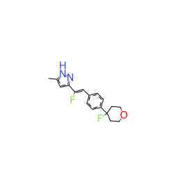 Cc1cc(/C(F)=C/c2ccc(C3(F)CCOCC3)cc2)n[nH]1